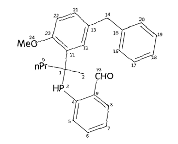 CCCC(C)(Pc1ccccc1C=O)c1cc(Cc2ccccc2)ccc1OC